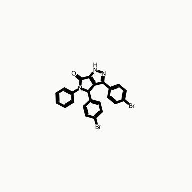 O=C1c2[nH]nc(-c3ccc(Br)cc3)c2C(c2ccc(Br)cc2)N1c1ccccc1